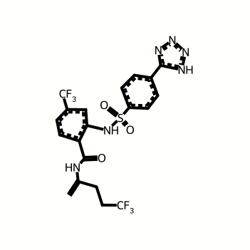 C=C(CCC(F)(F)F)NC(=O)c1ccc(C(F)(F)F)cc1NS(=O)(=O)c1ccc(-c2nnn[nH]2)cc1